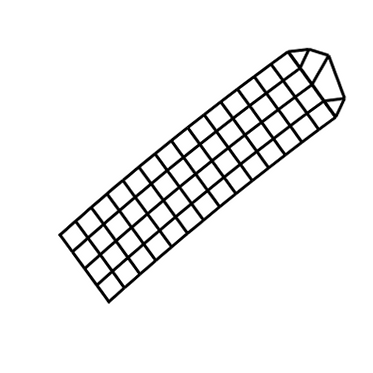 C1C2C3C4CC5C6C7C8C9C%10C%11C%12C%13C%14C%15C%16C%17C%18%19C%20C%21C%22C%18%23C%18C%24C%25C%26C%27C%28C%29C%30C%31C%32C%33C%34C1C21C32C45C63C74C85C96C%107C%118C%129C%13%10C%14%11C%15%12C%16%13C%17%14C%20%19C%21%15C%22%23C%18%16C%24%17C%25%18C%26%19C%27%20C%28%21C%29%22C%30%23C%31%24C%32%25C%33%26C%341C23C%264C%255C%246C%237C%228C%219C%20%10C%19%11C%18%12C%17%13C%15%16%14